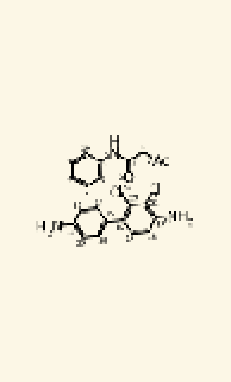 CC(=O)CC(=O)Nc1ccccc1.Nc1ccc(-c2ccc(N)c(Cl)c2Cl)cc1